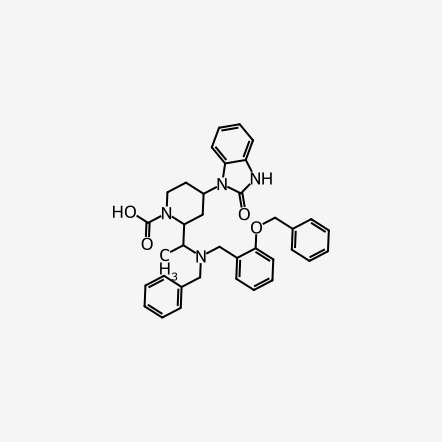 CC(C1CC(n2c(=O)[nH]c3ccccc32)CCN1C(=O)O)N(Cc1ccccc1)Cc1ccccc1OCc1ccccc1